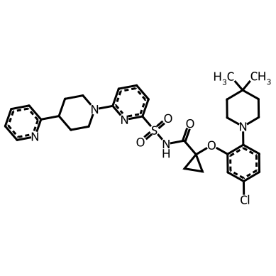 CC1(C)CCN(c2ccc(Cl)cc2OC2(C(=O)NS(=O)(=O)c3cccc(N4CCC(c5ccccn5)CC4)n3)CC2)CC1